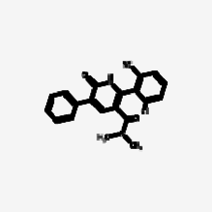 CN(C)C(=O)c1cc(-c2ccccc2)c(=O)[nH]c1-c1c(Cl)cccc1C#N